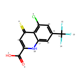 O=C(O)c1cc(=S)c2c(Cl)cc(C(F)(F)F)cc2[nH]1